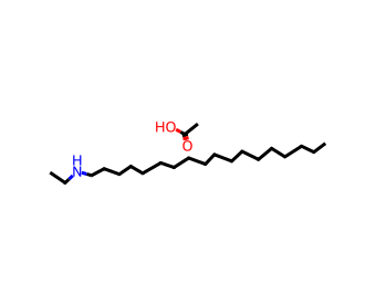 CC(=O)O.CCCCCCCCCCCCCCCCCCNCC